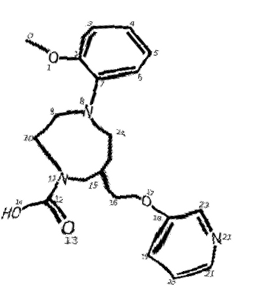 COc1ccccc1N1CCN(C(=O)O)C(COc2cccnc2)C1